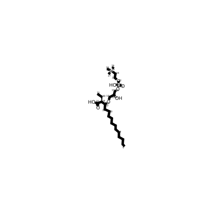 CCCCCCCCCCCCC(OCC(O)COP(=O)(O)OCC[N+](C)(C)C)[C@H](CC)C(=O)O